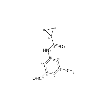 Cc1cc(C=O)nc(NC(=O)C2CC2)c1